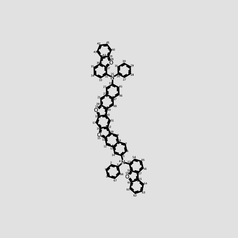 c1ccc(N(c2ccc3cc4c(cc3c2)oc2cc3oc5cc6cc(N(c7ccccc7)c7cccc8c7oc7ccccc78)ccc6cc5c3cc24)c2cccc3c2oc2ccccc23)cc1